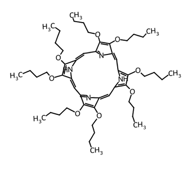 CCCCOC1=C(OCCCC)c2cc3[nH]c(cc4nc(cc5[nH]c(cc1n2)c(OCCCC)c5OCCCC)C(OCCCC)=C4OCCCC)c(OCCCC)c3OCCCC